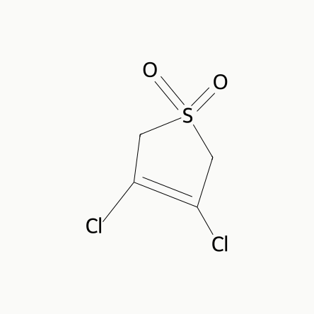 O=S1(=O)CC(Cl)=C(Cl)C1